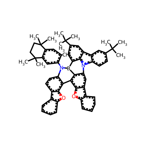 Cc1cc2c(cc1N1B3c4c(cc5c(oc6ccccc65)c4-c4c1ccc1c4oc4ccccc41)-n1c4ccc(C(C)(C)C)cc4c4cc(C(C)(C)C)cc3c41)C(C)(C)CCC2(C)C